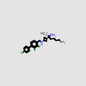 BCCCCC(N)(C(=O)O)[C@H]1C[C@@H](NCc2ccc(-c3ccc(Cl)cc3)c(F)c2F)C1